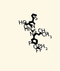 CC(C)Cc1sc(Nc2ncc(-c3cccs3)cc2C(=O)O)nc1-c1ccc(OC(F)(F)P)c(F)c1